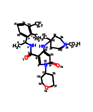 Cc1c(C(C)NC(=O)c2cn(C3CCOCC3)c(=O)cc2NC2(C)CCN(C(=O)O)CC2)cccc1C(F)(F)F